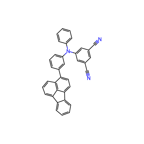 N#Cc1cc(C#N)cc(N(c2ccccc2)c2cccc(-c3ccc4c5c(cccc35)-c3ccccc3-4)c2)c1